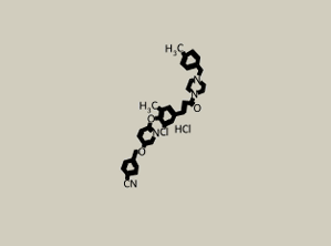 Cc1ccc(CN2CCN(C(=O)C=Cc3cc(C)c(Oc4ccc(OCc5ccc(C#N)cc5)cn4)c(Cl)c3)CC2)cc1.Cl